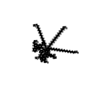 CCCCCCCCCCCCCCCCCCOc1cc(C(OC(=O)CCC(=O)O)([C@@H]2C[C@H](n3cc(C)c(=O)[nH]c3=O)O[C@@H]2CO)[S+]([O-])P(=O)(O)OC(CC#N)[C@@H]2C[C@H](n3cc(C)c(=O)[nH]c3=O)O[C@@H]2COC(c2ccccc2)(c2ccc(OC)cc2)c2ccc(OC)cc2)cc(OCCCCCCCCCCCCCCCCCC)c1OCCCCCCCCCCCCCCCCCC